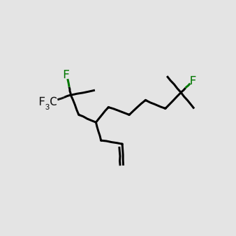 C=CCC(CCCCC(C)(C)F)CC(C)(F)C(F)(F)F